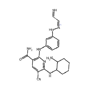 N#Cc1cc(C(N)=O)c(Nc2cccc(N/N=C\C=N)c2)nc1NC1CCCCC1N